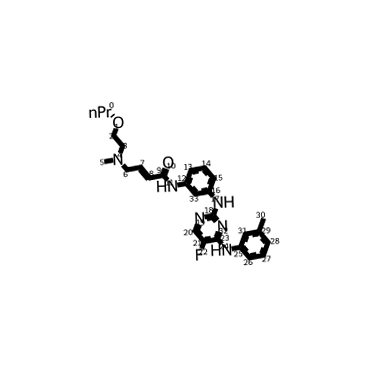 CCCOCCN(C)C/C=C/C(=O)Nc1cccc(Nc2ncc(F)c(Nc3cccc(C)c3)n2)c1